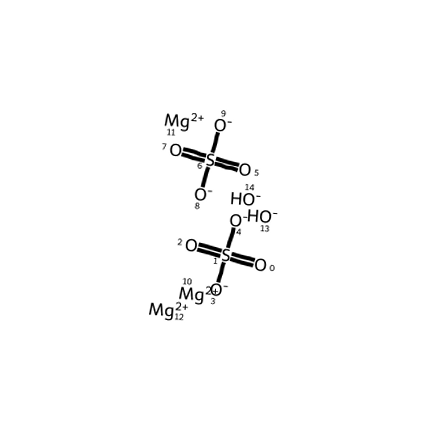 O=S(=O)([O-])[O-].O=S(=O)([O-])[O-].[Mg+2].[Mg+2].[Mg+2].[OH-].[OH-]